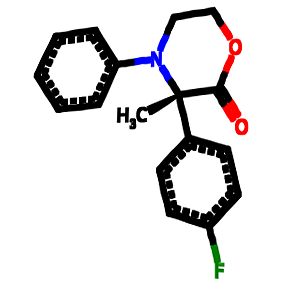 C[C@]1(c2ccc(F)cc2)C(=O)OCCN1c1ccccc1